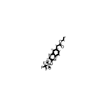 CCOC(=O)Cc1ccc2nc(OS(=O)(=O)C(F)(F)F)cnc2c1